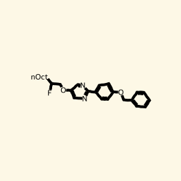 CCCCCCCCC(F)COc1cnc(-c2ccc(OCc3ccccc3)cc2)nc1